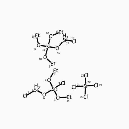 CCO[Si](Cl)(OCC)O[SiH2]Cl.CCO[Si](OCC)(OCC)O[SiH2]Cl.Cl[Si](Cl)(Cl)Cl